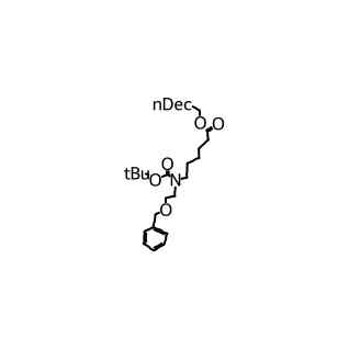 CCCCCCCCCCCOC(=O)CCCCCN(CCOCc1ccccc1)C(=O)OC(C)(C)C